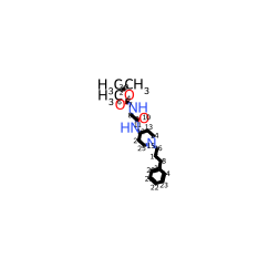 CC(C)(C)OC(=O)NCC(=O)NC1CCN(CCCc2ccccc2)CC1